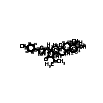 CC(C)C1=C2[C@H]3CC[C@@H]4[C@@]5(C)CC[C@H](O)C(C)(C)[C@@H]5CC[C@@]4(C)[C@]3(C)CC[C@@]2(Nc2nnc(-c3ccc(Cl)cc3)o2)CC1=O